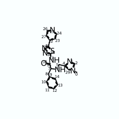 Cn1cnc(CNC(Cc2ccccc2)C(=O)Nc2nnc(-c3ccncc3)s2)c1